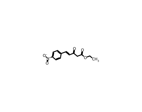 CCOC(=O)CC(=O)C=Cc1ccc([N+](=O)[O-])cc1